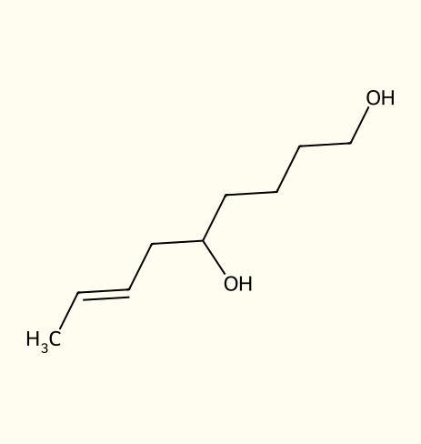 CC=CCC(O)CCCCO